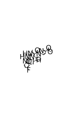 COC(=O)c1ccc(NC(=O)C2=C(C)NC(Nc3nc4ccc(F)cc4o3)=NC2c2ccccc2Cl)nc1